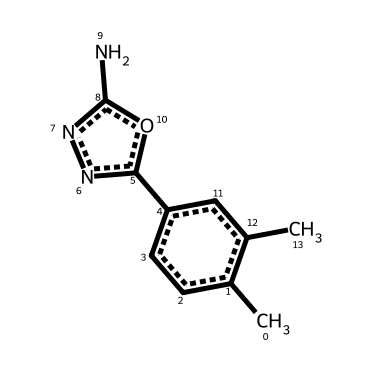 Cc1ccc(-c2nnc(N)o2)cc1C